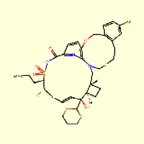 COCC[C@@H]1[C@@H](C)C/C=C/[C@@](O)(C2SCCCS2)[C@@H]2CC[C@H]2CN2CCCCc3cc(Cl)ccc3COc3ccc(nc32)C(=O)NS1(=O)=O